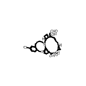 C[C@@]12C[C@H]1C/C=C/[C@](O)(CC=O)[C@@H]1CC[C@H]1CN1CCCCc3cc(Cl)ccc3COc3ccc(cc31)C(=O)NS2(=O)=O